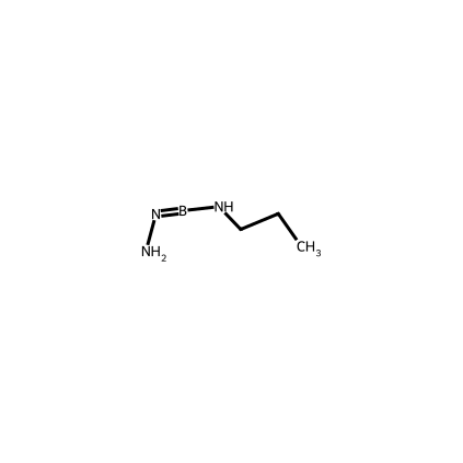 CCCNB=NN